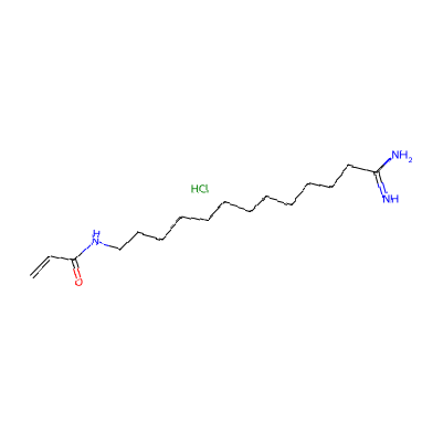 C=CC(=O)NCCCCCCCCCCCCC(=N)N.Cl